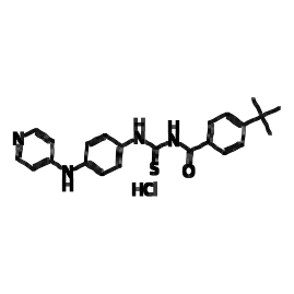 CC(C)(C)c1ccc(C(=O)NC(=S)Nc2ccc(Nc3ccncc3)cc2)cc1.Cl